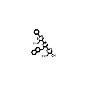 CC(C)Cc1nc(-c2cnc(-c3cnc(-c4ccccc4)nc3CC(C)C)nc2Cc2ccc3ccccc3c2)ncc1C#N